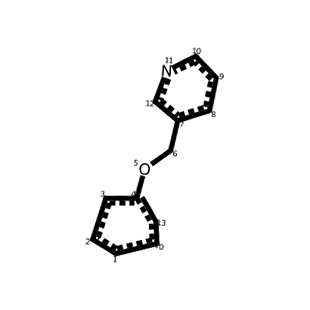 [c]1cccc(OCc2cccnc2)c1